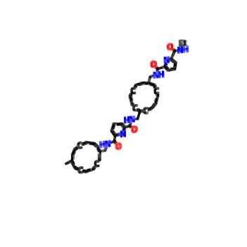 CCNC(=O)c1cccc(C(=O)NCc2ccccccc(CNC(=O)c3cccc(C(=O)NCc4ccccccc(C)cccccc4)n3)cccccc2)n1